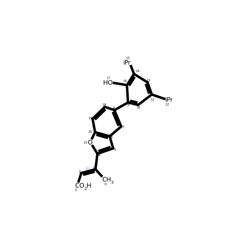 C/C(=C\C(=O)O)c1cc2cc(-c3cc(C(C)C)cc(C(C)C)c3O)ccc2o1